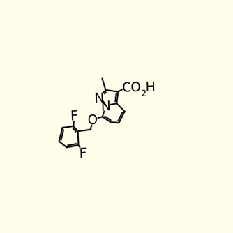 Cc1nn2c(OCc3c(F)cccc3F)cccc2c1C(=O)O